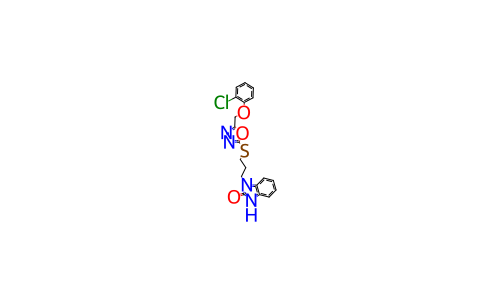 O=c1[nH]c2ccccc2n1CCCSc1nnc(COc2ccccc2Cl)o1